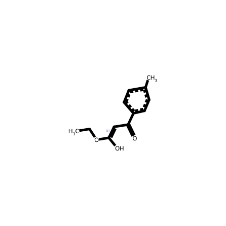 CCO/C(O)=C/C(=O)c1ccc(C)cc1